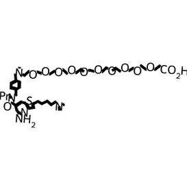 CCCN(Cc1ccc(CN(C)CCOCCOCCOCCOCCOCCOCCOCCOCCOCCOCCC(=O)O)cc1)C(=O)C1=Cc2sc(CCCCCN(C)C)cc2N=C(N)C1